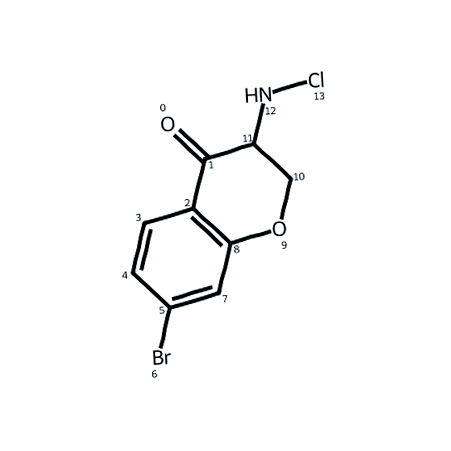 O=C1c2ccc(Br)cc2OCC1NCl